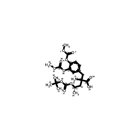 COC(=O)Oc1ccc(CC(N)(C[C@H](C)OC(=O)OC(C)(C)C)C(=O)O)cc1OC(=O)OC